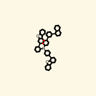 c1cc(-c2ccc(N(c3ccc(-c4cccc5c4oc4ccccc45)cc3)c3ccccc3-c3ccc4c(c3)oc3ccccc34)cc2)cc(-c2cccc3ccccc23)c1